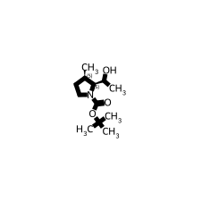 CC(O)[C@@H]1[C@@H](C)CCN1C(=O)OC(C)(C)C